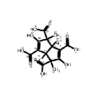 CC1(C(=O)O)C(O)=C(C(=O)O)C2(C)C(C)(C(=O)O)C(O)=C(C(=O)O)C12C